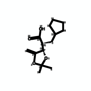 C=C1OC(C)(C)O[C@H]1[C@@H](CC1CCCC1)C(=O)O